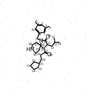 Cc1cc(C)cc(CN2C(=O)C(CC(C)C)N(C(=O)CCC3CCCC3)C23CCNCC3)c1